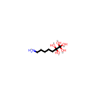 NCCCCCC(O)(O)C(O)(O)O